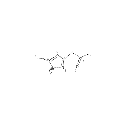 CC(=O)Cc1cc(C)[nH]n1